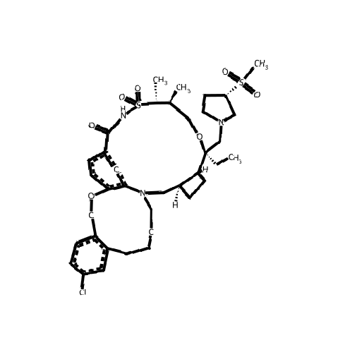 CC[C@@]1(CN2CC[C@H](S(C)(=O)=O)C2)OC[C@H](C)[C@@H](C)S(=O)(=O)NC(=O)c2ccc3c(c2)N(CCCCc2cc(Cl)ccc2CO3)C[C@@H]2CC[C@H]21